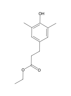 CCOC(=O)CCc1cc(C)c(O)c(C)c1